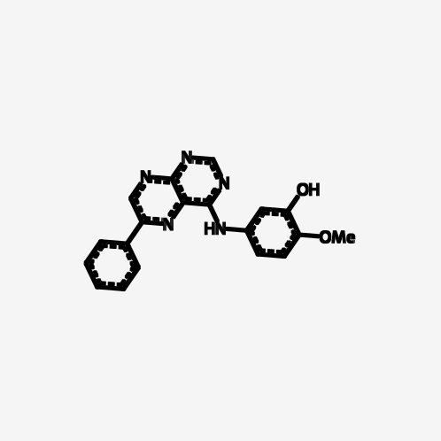 COc1ccc(Nc2ncnc3ncc(-c4ccccc4)nc23)cc1O